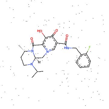 CC(C)N1CC[C@H](C)N2C(=O)c3c(O)c(=O)c(C(=O)NCc4ccccc4F)cn3C[C@@H]12